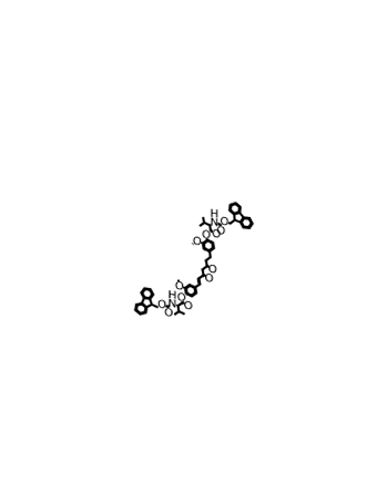 COc1cc(/C=C/C(=O)CC(=O)CCc2ccc(OC(=O)[C@@H](NC(=O)OCC3c4ccccc4-c4ccccc43)C(C)C)c(OC)c2)ccc1OC(=O)[C@@H](NC(=O)OCC1c2ccccc2-c2ccccc21)C(C)C